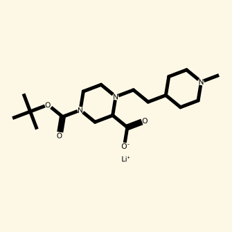 CN1CCC(CCN2CCN(C(=O)OC(C)(C)C)CC2C(=O)[O-])CC1.[Li+]